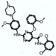 COc1ccccc1Oc1nc(Nc2ccc(N3CCN(C)CC3)c(OC)c2)ncc1C(=O)Nc1c(Cl)cccc1Cl